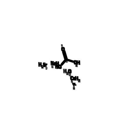 O.O=C(O)O.[CaH2].[NaH].[SrH2].[Y]